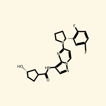 O=C(Nc1cnn2ccc(N3CCC[C@@H]3c3cc(F)ccc3F)nc12)C1CC[C@H](O)C1